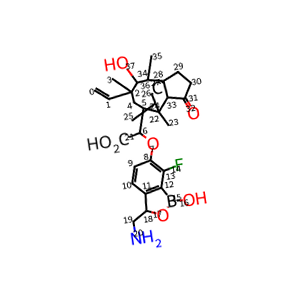 C=CC1(C)CC(C(Oc2ccc3c(c2F)B(O)OC3CN)C(=O)O)C2(C)C(C)CCC3(CCC(=O)C32)C(C)C1O